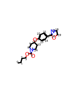 CCCCOC(=O)N1CCC(Oc2ccc(C3=NCCO3)cc2)CC1